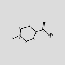 C=C(CCC)C1CCN(C)CC1